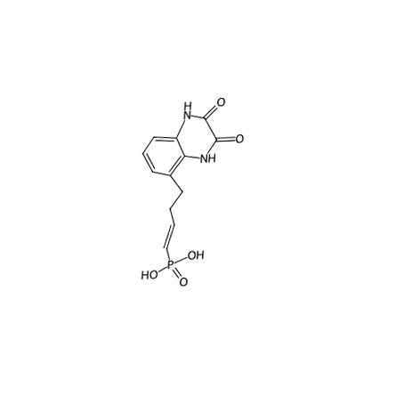 O=c1[nH]c2cccc(CC/C=C/P(=O)(O)O)c2[nH]c1=O